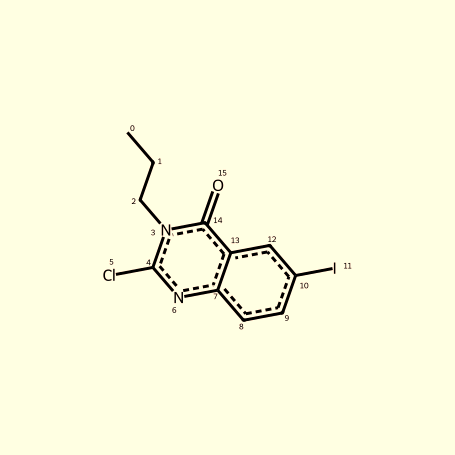 CCCn1c(Cl)nc2ccc(I)cc2c1=O